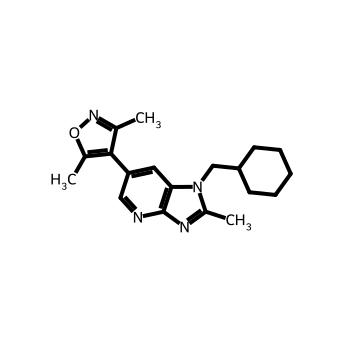 Cc1noc(C)c1-c1cnc2nc(C)n(CC3CCCCC3)c2c1